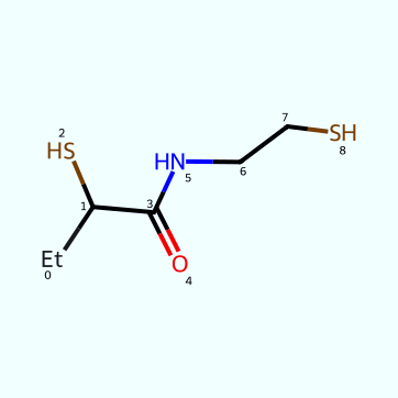 CCC(S)C(=O)NCCS